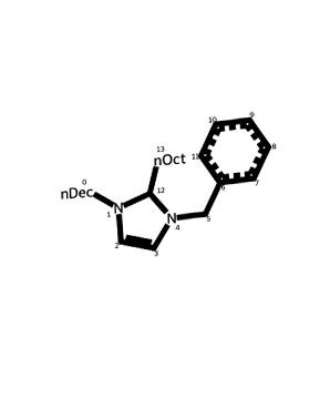 CCCCCCCCCCN1C=CN(Cc2ccccc2)C1CCCCCCCC